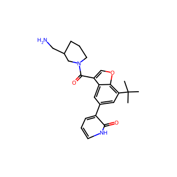 CC(C)(C)c1cc(-c2ccc[nH]c2=O)cc2c(C(=O)N3CCCC(CN)C3)coc12